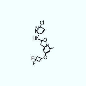 Cc1cc(OC2CC(F)(F)C2)cc(CC(=O)Nc2ccc(Cl)nn2)n1